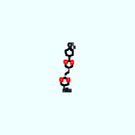 CCCC[C@H]1CO[C@H](CC[C@H]2CO[C@H](C3CC=C(C(F)(F)F)CC3)OC2)OC1